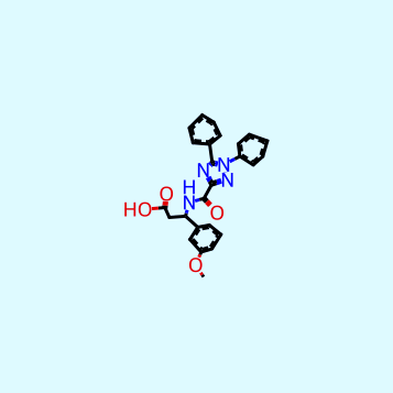 COc1cccc(C(CC(=O)O)NC(=O)c2nc(-c3ccccc3)n(-c3ccccc3)n2)c1